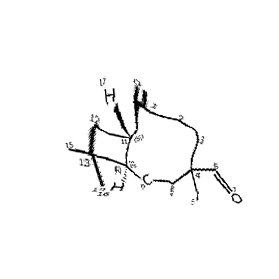 C=C1CCC(I)(C=O)CC[C@@H]2[C@@H]1CC2(C)C